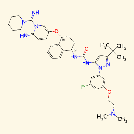 CN(C)CCOc1cc(F)cc(-n2nc(C(C)(C)C)cc2NC(=O)N[C@H]2CC[C@@H](Oc3ccc(=N)n(C(=N)N4CCCCC4)c3)c3ccccc32)c1